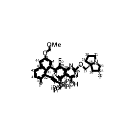 COCOc1cc(-c2nc(OC(C)C)c3c(O)nc(OC[C@@]45CCCN4C[C@H](F)C5)nc3c2F)c2c(C#C[Si](C(C)C)(C(C)C)C(C)C)c(F)ccc2c1